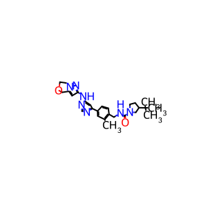 Cc1cc(-c2cc(Nc3cc4n(n3)CCOC4)ncn2)ccc1CNC(=O)N1CCC(C(C)(C)C)C1